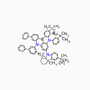 CC(C)(C)c1cccc(N2c3cc(C(C)(C)C)ccc3B3c4ccc(-c5ccccc5)cc4N(c4cccc(-c5ccccc5)c4)c4cc(N5c6ccc(C(C)(C)C)cc6C6(C)CCCCC56C)cc2c43)c1